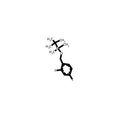 CC(C)(C)[Si](C)(C)OCc1ccc(I)cc1F